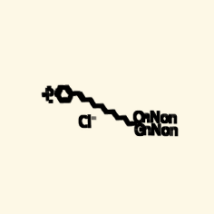 CCCCCCCCCOC(CCCCCCCCC=Cc1ccc([P+](C)(C)C)cc1)OCCCCCCCCC.[Cl-]